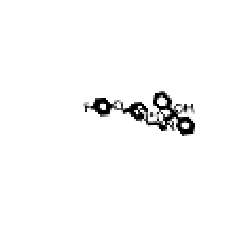 O[C@](c1ccccc1)(c1ncc(C[N+]23CCC(CC2)C(COc2ccc(F)cc2)C3)o1)C1CCCCC1